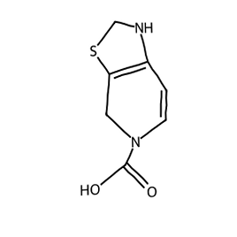 O=C(O)N1C=CC2=C(C1)SCN2